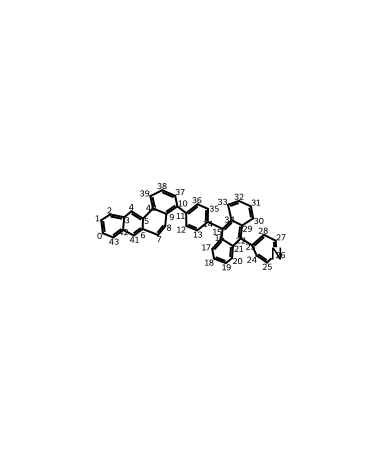 c1ccc2cc3c(ccc4c(-c5ccc(-c6c7ccccc7c(-c7ccncc7)c7ccccc67)cc5)cccc43)cc2c1